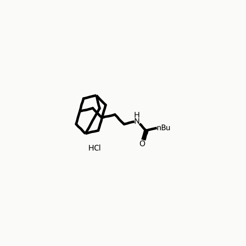 CCCCC(=O)NCCC12CC3CC(CC(C3)C1)C2.Cl